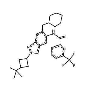 C=C(Nc1cc2cn(C3CC(C(C)(C)C)C3)nc2cc1CC1CCCCC1)c1cccc(C(F)(F)F)n1